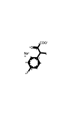 CC(C(=O)C(=O)[O-])c1ccc(F)cc1.[Na+]